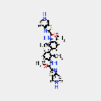 Cc1ccc(-c2ccc(C)c(NC(=O)c3nc4c(s3)CNCC4)c2C)c(C)c1NC(=O)c1nc2c(s1)CNCC2